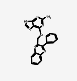 Nc1nc(NCc2nc3ccccc3nc2-c2ccccc2)c2nc[nH]c2n1